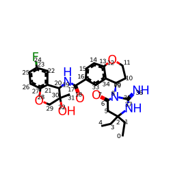 CCC1(CC)CC(=O)N([C@@H]2CCOc3ccc(C(=O)NC4c5cc(F)ccc5OCC4(C)O)cc32)C(=N)N1